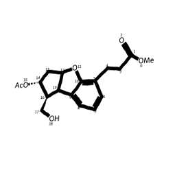 COC(=O)CCc1cccc2c1OC1C[C@@H](OC(C)=O)[C@H](CO)C21